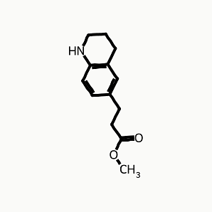 COC(=O)CCc1ccc2c(c1)CCCN2